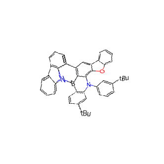 CC(C)(C)c1cccc(N2c3cc(C(C)(C)C)ccc3B3c4c(cc5c(oc6ccccc65)c42)-c2cccc4c5ccccc5n3c24)c1